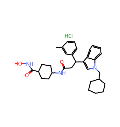 Cc1cccc(C(CC(=O)NC2CCC(C(=O)NO)CC2)c2cn(CC3CCCCC3)c3ccccc23)c1.Cl